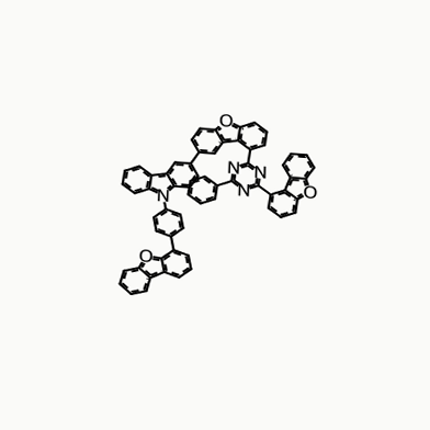 c1ccc(-c2nc(-c3cccc4oc5ccccc5c34)nc(-c3cccc4oc5ccc(-c6ccc7c(c6)c6ccccc6n7-c6ccc(-c7cccc8c7oc7ccccc78)cc6)cc5c34)n2)cc1